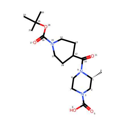 C[C@@H]1CN(C(=O)O)CCN1C(=O)C1CCN(C(=O)OC(C)(C)C)CC1